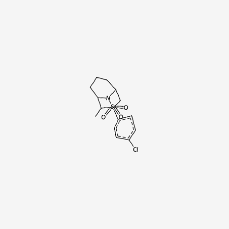 CC1C(=O)CC2CCCC1N2S(=O)(=O)c1ccc(Cl)cc1